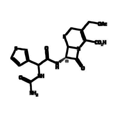 CC(=O)OCC1=C(C(=O)O)N2C(=O)[C@H](NC(=O)C(NC(N)=O)c3ccsc3)C2SC1